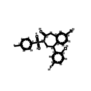 Cc1ccc(S(=O)(=O)N2CC(c3cc(F)ccc3Cl)c3ccc(Br)cc3CC2=O)cc1